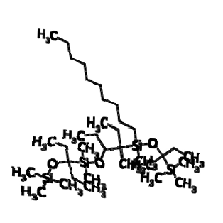 CCCCCCCCCC[Si](C)(OC(C)(CC)[Si](C)(C)C)C(C)(CC)C(CC)O[Si](C)(C)C(CC)(CC)O[Si](C)(C)C